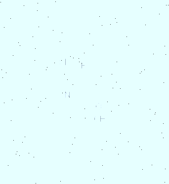 COc1cnc(CCl)c(F)c1